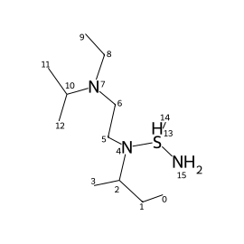 CCC(C)N(CCN(CC)C(C)C)[SH](C)N